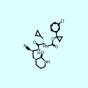 N#C[C@H](C[C@@H]1CCCNC1=O)NC(=O)[C@H](CC1CC1)NC(=O)OC1(c2cccc(Cl)c2)CC1